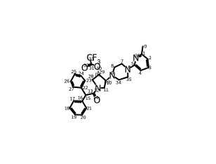 Cc1cccc(N2CCN([C@H]3CN(C(=O)C(c4ccccc4)c4ccccc4)C[C@@H]3OC(=O)C(F)(F)F)CC2)n1